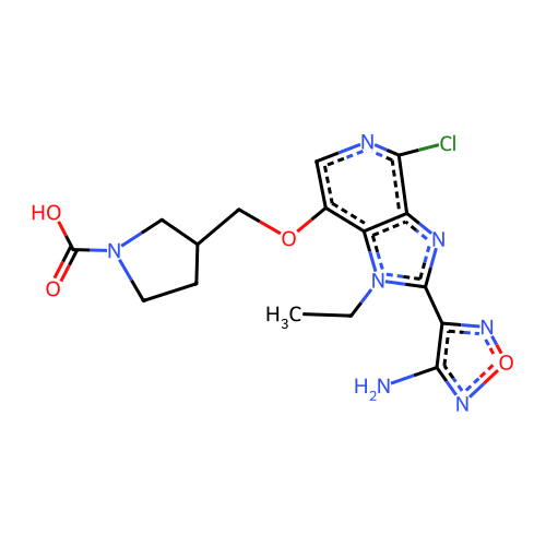 CCn1c(-c2nonc2N)nc2c(Cl)ncc(OCC3CCN(C(=O)O)C3)c21